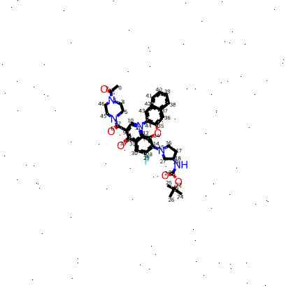 CC(=O)N1CCN(C(=O)c2cn3c4c(c(N5CCC(NC(=O)OC(C)(C)C)C5)c(F)cc4c2=O)Oc2cc4ccccc4cc2-3)CC1